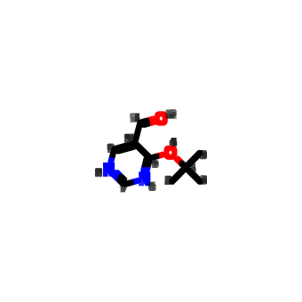 CC(C)(C)Oc1ncncc1C=O